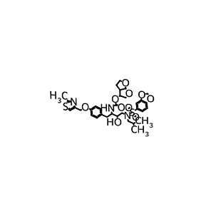 Cc1nc(COc2ccc(CC(NC(=O)OC3COC4OCCC34)C(O)CN(CC(C)C)S(=O)(=O)c3ccc4c(c3)OCO4)cc2)cs1